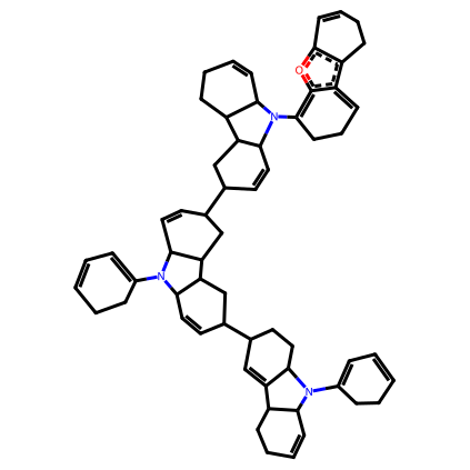 C1=CCCC(N2C3CCC(C4C=CC5C(C4)C4CC(C6C=CC7C(C6)C6CCC=CC6N7C6=c7oc8c(c7=CCC6)CCC=C8)C=CC4N5C4=CC=CCC4)C=C3C3CCC=CC32)=C1